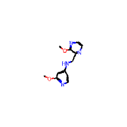 COc1cc(NCc2nccnc2OC)ccn1